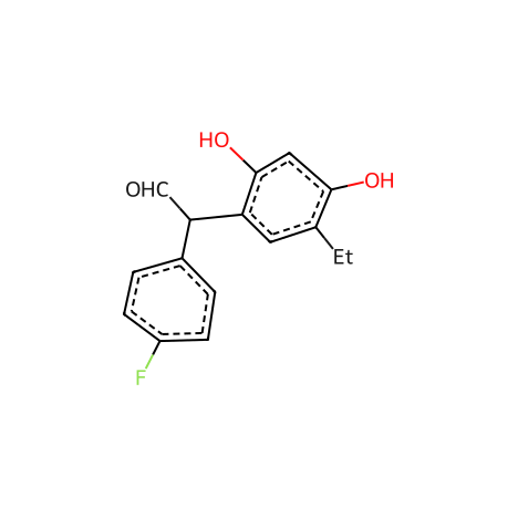 CCc1cc(C(C=O)c2ccc(F)cc2)c(O)cc1O